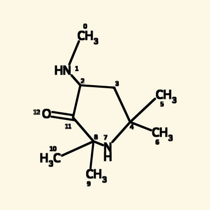 CNC1CC(C)(C)NC(C)(C)C1=O